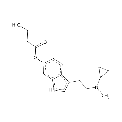 CCCC(=O)Oc1ccc2c(CCN(C)C3CC3)c[nH]c2c1